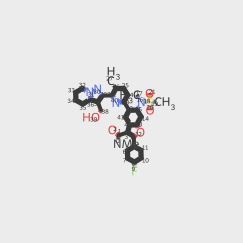 CNC(=O)c1c(-c2ccc(F)cc2)oc2cc(N(C)S(C)(=O)=O)c(-c3ccc(C)c(-c4nn5ccccc5c4CO)n3)cc12